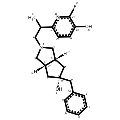 CC(CN1C[C@@H]2C[C@@](O)(Cc3ccccc3)C[C@@H]2C1)c1ccc(O)c(F)n1